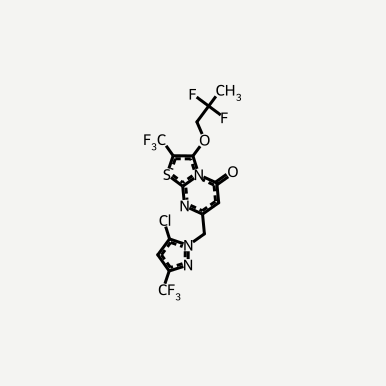 CC(F)(F)COc1c(C(F)(F)F)sc2nc(Cn3nc(C(F)(F)F)cc3Cl)cc(=O)n12